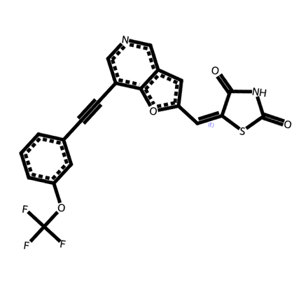 O=C1NC(=O)/C(=C\c2cc3cncc(C#Cc4cccc(OC(F)(F)F)c4)c3o2)S1